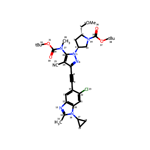 COC[C@H]1C[C@H](n2nc(C#Cc3cc4nc(C)n(C5CC5)c4cc3Cl)c(C#N)c2N(C)C(=O)OC(C)(C)C)CN1C(=O)OC(C)(C)C